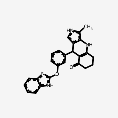 Cc1[nH]cc2c1NC1=C(C(=O)CCC1)C2c1cccc(Oc2nc3ccccc3[nH]2)c1